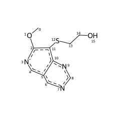 COc1ncc2cncnc2c1SCCO